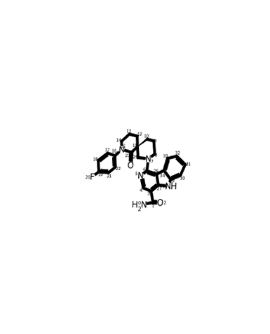 NC(=O)c1cnc(N2CCC[C@@]3(CCCN(c4ccc(F)cc4)C3=O)C2)c2c1[nH]c1ccccc12